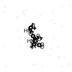 COc1ccc2c(c1C(C)(C)C)[C@]1(C[C@H]1c1ccc3c(Nc4nc(C(C)C)nc(N5CCS(=O)(=O)CC5)c4OC)nn(C(=O)OC(C)(C)C)c3c1)C(=O)N2